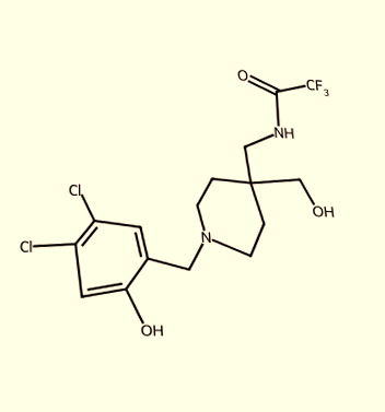 O=C(NCC1(CO)CCN(Cc2cc(Cl)c(Cl)cc2O)CC1)C(F)(F)F